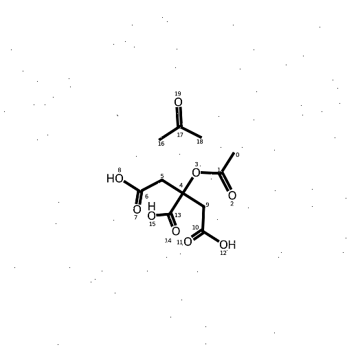 CC(=O)OC(CC(=O)O)(CC(=O)O)C(=O)O.CC(C)=O